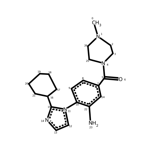 CN1CCN(C(=O)c2ccc(-n3ccnc3C3CCCCC3)c(N)c2)CC1